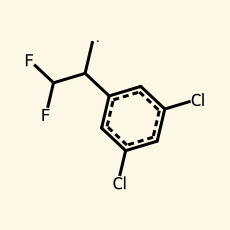 [CH2]C(c1cc(Cl)cc(Cl)c1)C(F)F